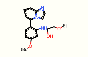 CCOCC(O)Nc1cc(OC(C)(C)C)ccc1-c1cccc2nccn12